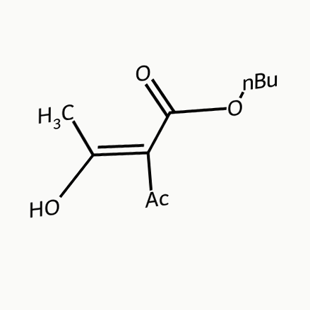 CCCCOC(=O)/C(C(C)=O)=C(\C)O